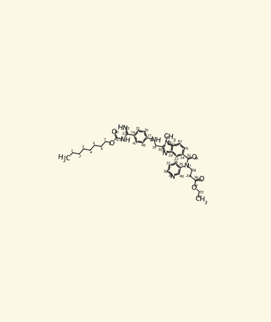 CCCCCCCCOC(=O)NC(=N)c1ccc(NCc2nc3cc(C(=O)N(CCC(=O)OCC)c4cccnc4)ccc3n2C)cc1